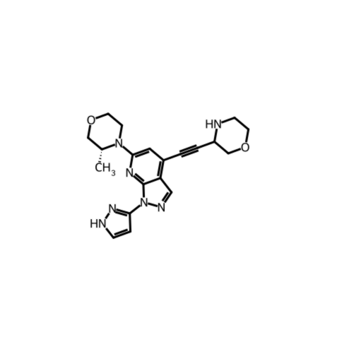 C[C@@H]1COCCN1c1cc(C#CC2COCCN2)c2cnn(-c3cc[nH]n3)c2n1